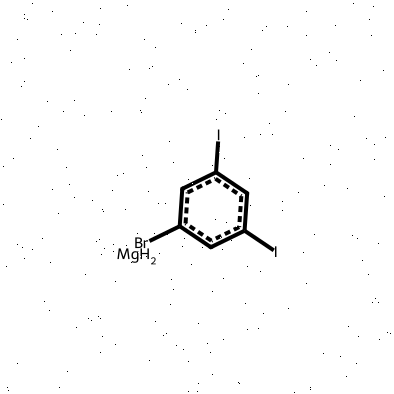 Brc1cc(I)cc(I)c1.[MgH2]